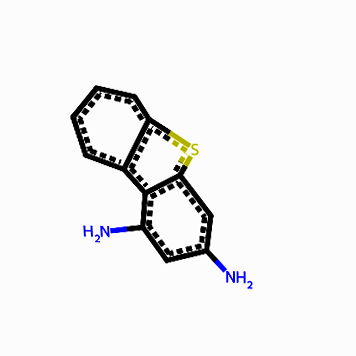 Nc1cc(N)c2c(c1)sc1ccccc12